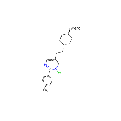 CCCCC[C@H]1CC[C@H](CCC2=CN=C(c3ccc(C#N)cc3)N(Cl)C2)CC1